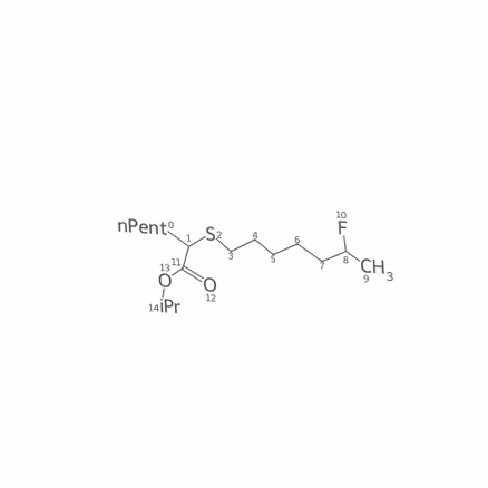 CCCCCC(SCCCCCC(C)F)C(=O)OC(C)C